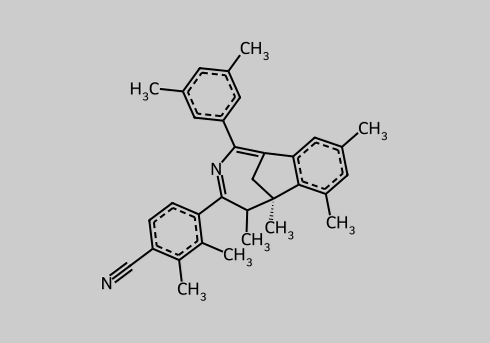 Cc1cc(C)cc(C2=C3C[C@@](C)(c4c(C)cc(C)cc43)C(C)C(c3ccc(C#N)c(C)c3C)=N2)c1